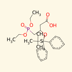 CCOP(=O)(CC(CC(=O)O)O[Si](c1ccccc1)(c1ccccc1)C(C)(C)C)OCC